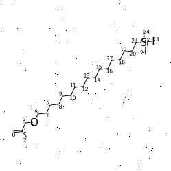 C=C(C)COCCCCCCCCCCCCCCCCC[Si](I)(I)I